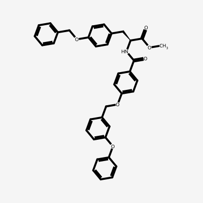 COC(=O)[C@H](Cc1ccc(OCc2ccccc2)cc1)NC(=O)c1ccc(OCc2cccc(Oc3ccccc3)c2)cc1